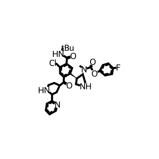 CN(C(=O)Oc1ccc(F)cc1)[C@@H]1CNC[C@H]1c1cc(C(=O)NC(C)(C)C)c(Cl)cc1C(=O)C1CCNC(c2ccccn2)C1